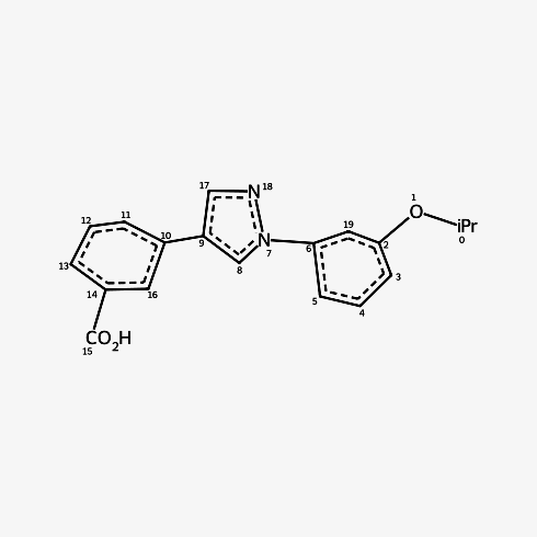 CC(C)Oc1cccc(-n2cc(-c3cccc(C(=O)O)c3)cn2)c1